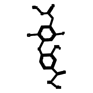 CC(C)(C)NC(=O)c1ccc(Oc2cc(F)c(CC(=O)OC(C)(C)C)cc2Cl)c([N+](=O)[O-])c1